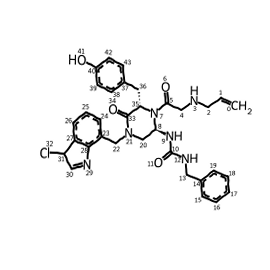 C=CCNCC(=O)N1[C@@H](NC(=O)NCc2ccccc2)CN(Cc2cccc3c2N=CC3Cl)C(=O)[C@@H]1Cc1ccc(O)cc1